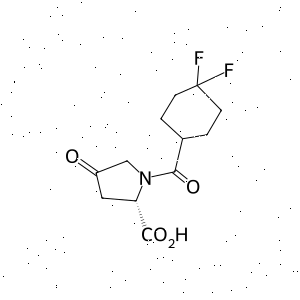 O=C1C[C@@H](C(=O)O)N(C(=O)C2CCC(F)(F)CC2)C1